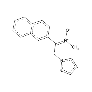 C[N+]([O-])=C(Cn1cncn1)c1ccc2ccccc2c1